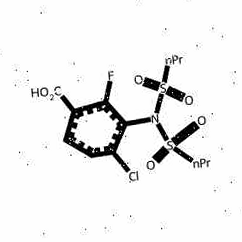 CCCS(=O)(=O)N(c1c(Cl)ccc(C(=O)O)c1F)S(=O)(=O)CCC